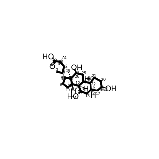 CC(C[C@@H](C)C(=O)O)[C@H]1CC[C@H]2[C@@H]3[C@H](O)C[C@@H]4C[C@H](O)CC[C@]4(C)[C@H]3C[C@H](O)[C@]12C